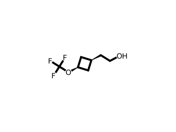 OCC[C@H]1C[C@@H](OC(F)(F)F)C1